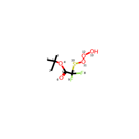 CC(C)(C)OC(=O)C(F)(F)SOOO